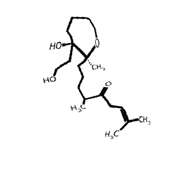 CC(C)=CCC(=O)C(C)CCC[C@]1(C)OCCCC[C@@]1(O)CCO